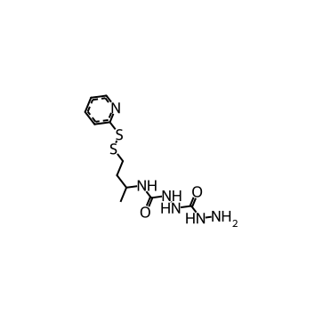 CC(CCSSc1ccccn1)NC(=O)NNC(=O)NN